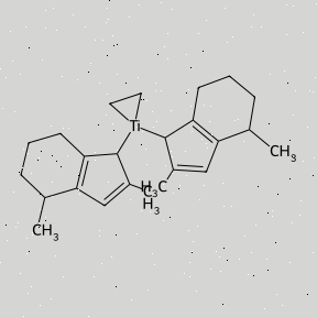 CC1=CC2=C(CCCC2C)[CH]1[Ti]1([CH]2C(C)=CC3=C2CCCC3C)[CH2][CH2]1